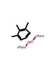 CCCCCOOCCCCC.Cc1cccc(C)c1C